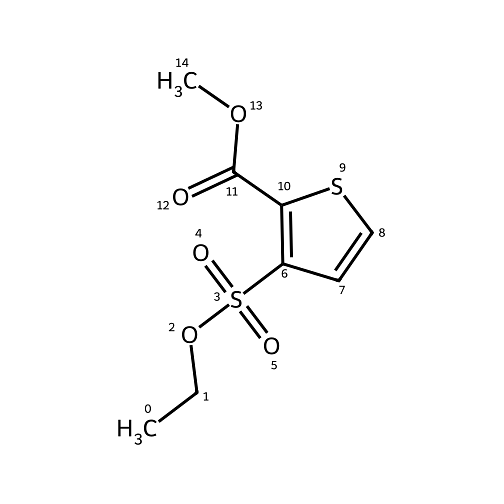 CCOS(=O)(=O)c1ccsc1C(=O)OC